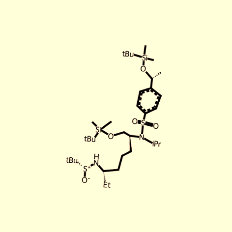 CC[C@@H](CCC[C@@H](CO[Si](C)(C)C(C)(C)C)N(C(C)C)S(=O)(=O)c1ccc([C@@H](C)O[Si](C)(C)C(C)(C)C)cc1)N[S@+]([O-])C(C)(C)C